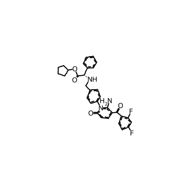 Nc1c(C(=O)c2ccc(F)cc2F)ccc(=O)n1-c1ccc(CN[C@H](C(=O)OC2CCCC2)c2ccccc2)cc1